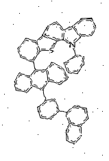 c1ccc(-n2c3ccccc3c3ccc4c5cccc(-c6c7ccccc7c(-c7cccc(-c8cccc9ccccc89)c7)c7ccccc67)c5sc4c32)cc1